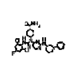 NC(=O)[C@H]1CC[C@@H](n2c(Nc3c(Cl)cc(F)cc3Cl)nc3cnc(N[C@@H]4CCCN(c5ccccc5)C4)nc32)CC1